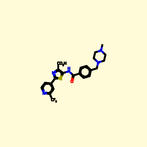 CN1CCN(Cc2ccc(C(=O)Nc3sc(-c4ccnc(C(F)(F)F)c4)nc3C(=O)O)cc2)CC1